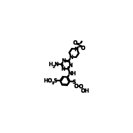 CS(=O)(=O)N1CCN(c2nc(N)nc(Nc3cc(S(=O)(=O)O)ccc3SOOO)n2)CC1